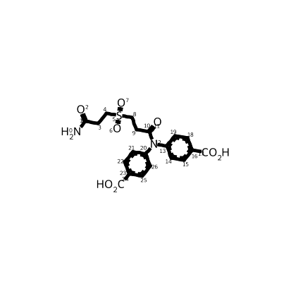 NC(=O)CCS(=O)(=O)CCC(=O)N(c1ccc(C(=O)O)cc1)c1ccc(C(=O)O)cc1